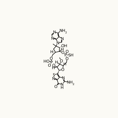 CO[C@H]1[C@H]2OP(=O)(O)OC[C@H]3CC(C)(n4cnc5c(N)ncnc54)[C@H](O)[C@@H]3O[P@@](=O)(S)OC[C@H]1O[C@H]2c1snc2c(=O)[nH]c(N)nc12